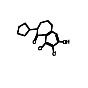 O=C1c2c(cc(O)c(Cl)c2Cl)CCCC1C1CCCC1